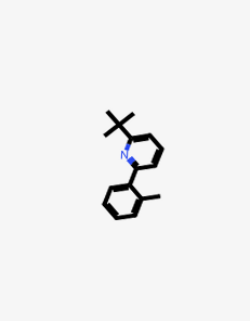 Cc1ccccc1-c1cccc(C(C)(C)C)n1